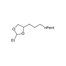 CCCCCCCCC1COC(CC)O1